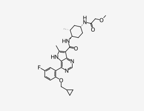 COCC(=O)N[C@@H]1CC[C@@H](NC(=O)c2c(C)[nH]c3c(-c4cc(F)ccc4OCC4CC4)ncnc23)[C@H](C)C1